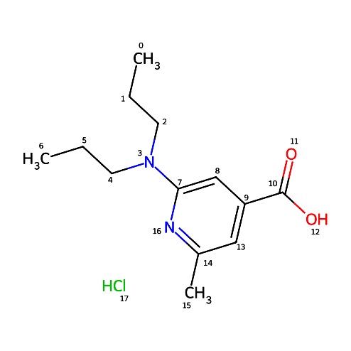 CCCN(CCC)c1cc(C(=O)O)cc(C)n1.Cl